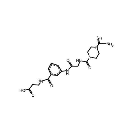 N=C(N)N1CCN(C(=O)NCC(=O)Nc2cccc(C(=O)NCCC(=O)O)c2)CC1